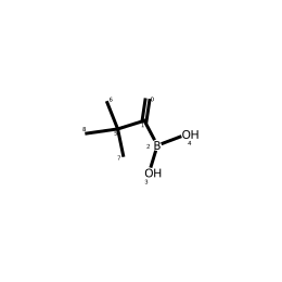 C=C(B(O)O)C(C)(C)C